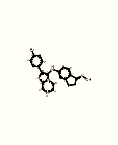 O/N=C1\CCc2cc(Nc3c(-c4ccc(F)cc4)nc4cnccn34)ccc21